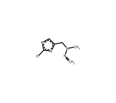 C=NN(C)Cc1cnc(Cl)s1